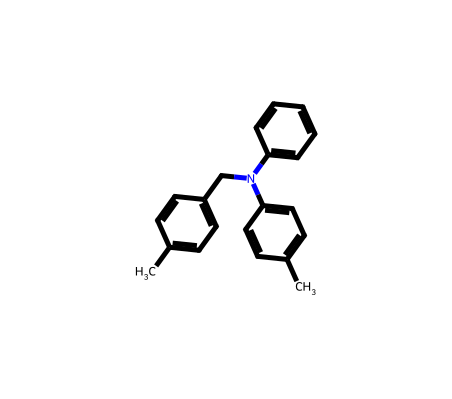 Cc1ccc(CN(c2ccccc2)c2ccc(C)cc2)cc1